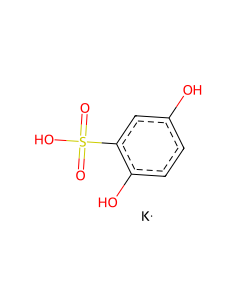 O=S(=O)(O)c1cc(O)ccc1O.[K]